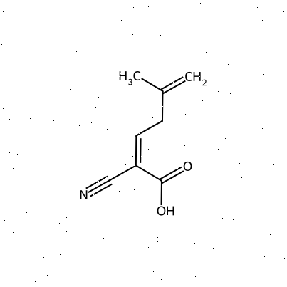 C=C(C)CC=C(C#N)C(=O)O